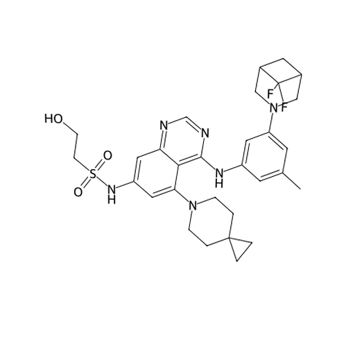 Cc1cc(Nc2ncnc3cc(NS(=O)(=O)CCO)cc(N4CCC5(CC4)CC5)c23)cc(N2CC3CC(C2)C3(F)F)c1